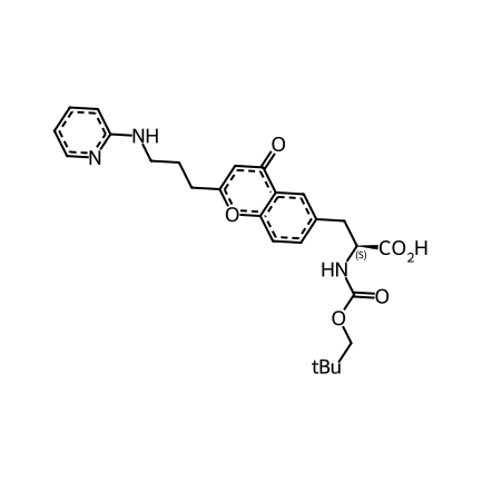 CC(C)(C)COC(=O)N[C@@H](Cc1ccc2oc(CCCNc3ccccn3)cc(=O)c2c1)C(=O)O